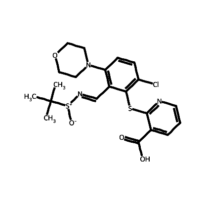 CC(C)(C)[S+]([O-])N=Cc1c(N2CCOCC2)ccc(Cl)c1Sc1ncccc1C(=O)O